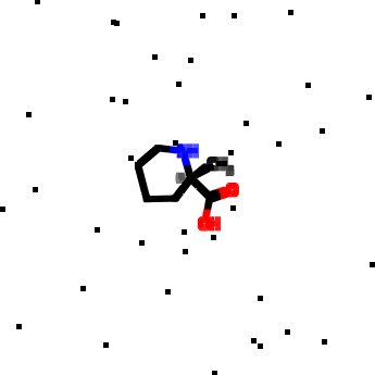 C[C@@]1(C(=O)O)CCCCN1